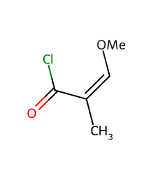 COC=C(C)C(=O)Cl